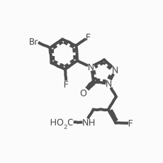 O=C(O)NC/C(=C/F)Cn1ncn(-c2c(F)cc(Br)cc2F)c1=O